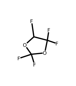 FC1OC(F)(F)OC1(F)F